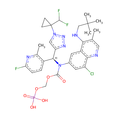 Cc1cnc2c(Cl)cc(N(C(=O)OCOP(=O)(O)O)[C@H](c3cn(C4(C(F)F)CC4)nn3)c3ccc(F)nc3C)cc2c1NCC(C)(C)C